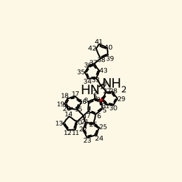 NC(Nc1ccc2c(c1)C(C1=CC=CC1)(c1ccccc1)c1ccccc1-2)(c1ccccc1)c1cccc(C2=CC=CC2)c1